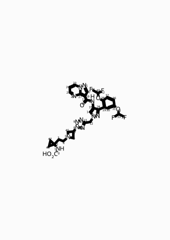 O=C(O)NC1(CCN2CC(n3nnc(Cn4cc(NC(=O)c5cnn6cccnc56)c(-c5cc(OC(F)F)ccc5OC(F)F)n4)n3)C2)CC1